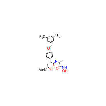 CNC(=O)C[C@@H](C(=O)N(C)[C@@H](C)C(=O)NO)c1ccc(OCc2cc(C(F)(F)F)cc(C(F)(F)F)c2)cc1